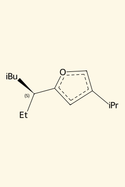 CCC(C)[C@H](CC)c1cc(C(C)C)co1